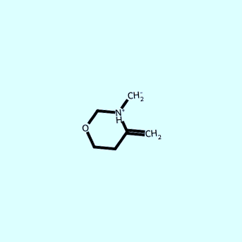 C=C1CCOC[NH+]1[CH2-]